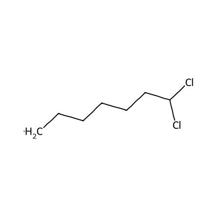 [CH2]CCCCCC(Cl)Cl